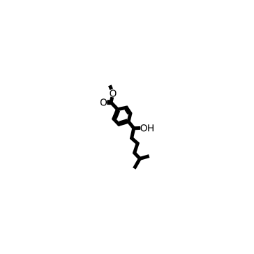 COC(=O)c1ccc(C(O)CCCC(C)C)cc1